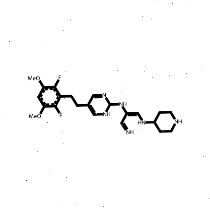 COc1cc(OC)c(F)c(CCC2=CNC(N/C(C=N)=C/NC3CCNCC3)N=C2)c1F